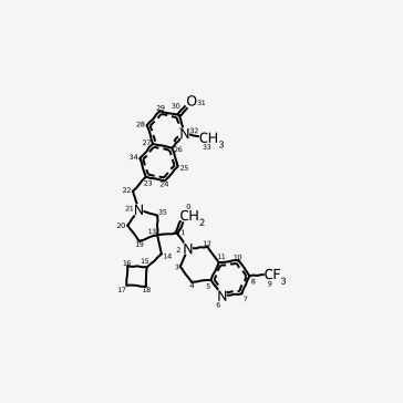 C=C(N1CCc2ncc(C(F)(F)F)cc2C1)C1(CC2CCC2)CCN(Cc2ccc3c(ccc(=O)n3C)c2)C1